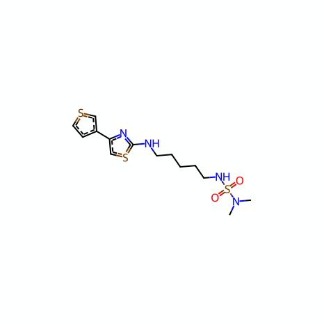 CN(C)S(=O)(=O)NCCCCCNc1nc(-c2ccsc2)cs1